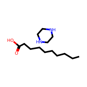 C1CNCCN1.CCCCCCCCCC(=O)O